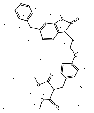 COC(=O)C(Cc1ccc(OCCn2c(=O)sc3cc(Cc4ccccc4)ccc32)cc1)C(=O)OC